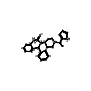 CC(c1ccc[nH]1)N1CCC(N2C(=O)Nc3ccccc3C2c2ccccc2)CC1